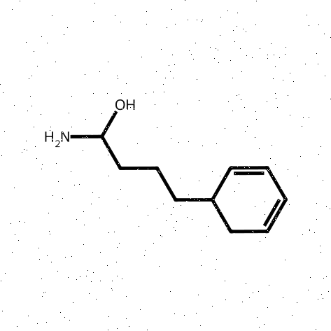 NC(O)CCCC1C=CC=CC1